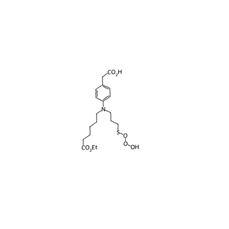 CCOC(=O)CCCCCN(CCCSOOO)c1ccc(CC(=O)O)cc1